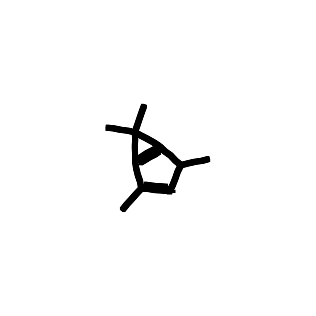 CC1=[C]C(C)C2=C1C2(C)C